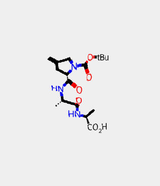 C=C1C[C@@H](C(=O)N[C@@H](C)C(=O)N[C@@H](C)C(=O)O)N(C(=O)OC(C)(C)C)C1